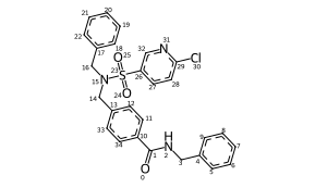 O=C(NCc1ccccc1)c1ccc(CN(Cc2ccccc2)S(=O)(=O)c2ccc(Cl)nc2)cc1